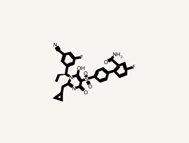 CC[C@@H](c1cc(F)cc(C#N)c1)n1c(CC2CC2)nc(=O)c(S(=O)(=O)c2ccc(-c3ccc(F)cc3C(N)=O)cc2)c1O